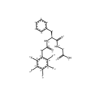 O=C(O)CNC(=O)[C@H](Cc1ccccc1)NC(=O)Cc1c(F)c(F)c(F)c(F)c1F